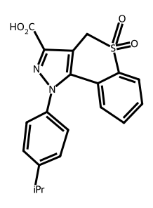 CC(C)c1ccc(-n2nc(C(=O)O)c3c2-c2ccccc2S(=O)(=O)C3)cc1